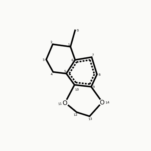 CC1CCCc2c1ccc1c2OCCO1